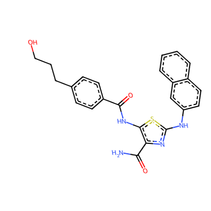 NC(=O)c1nc(Nc2ccc3ccccc3c2)sc1NC(=O)c1ccc(CCCO)cc1